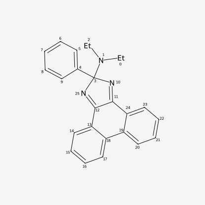 CCN(CC)C1(c2ccccc2)N=c2c(c3ccccc3c3ccccc23)=N1